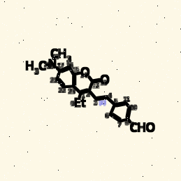 CCc1c(/C=C/c2ccc(C=O)cc2)c(=O)oc2cc(N(C)C)ccc12